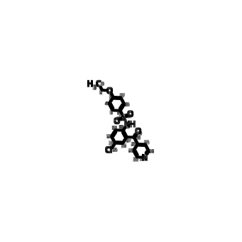 CCOc1ccc(S(=O)(=O)Nc2ccc(Cl)cc2C(=O)c2ccncc2)cc1